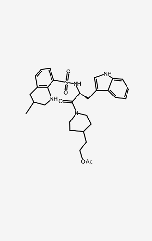 CC(=O)OCCC1CCN(C(=O)[C@H](Cc2c[nH]c3ccccc23)NS(=O)(=O)c2cccc3c2NCC(C)C3)CC1